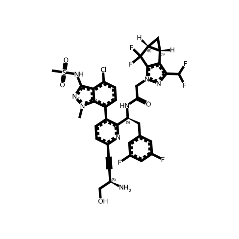 Cn1nc(NS(C)(=O)=O)c2c(Cl)ccc(-c3ccc(C#C[C@@H](N)CO)nc3[C@H](Cc3cc(F)cc(F)c3)NC(=O)Cn3nc(C(F)F)c4c3C(F)(F)[C@@H]3C[C@H]43)c21